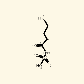 CCCCC(=O)NS(=O)(=O)O